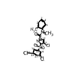 Cc1ccccc1N(C)C(=O)n1cc(Cl)c(S(=O)(=O)c2cc(Cl)cc(Cl)c2)n1